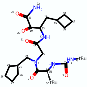 CC(C)(C)NC(=O)N[C@H](C(=O)N(CC(=O)NC(CC1CCC1)C(=O)C(N)=O)CC1CCCC1)C(C)(C)C